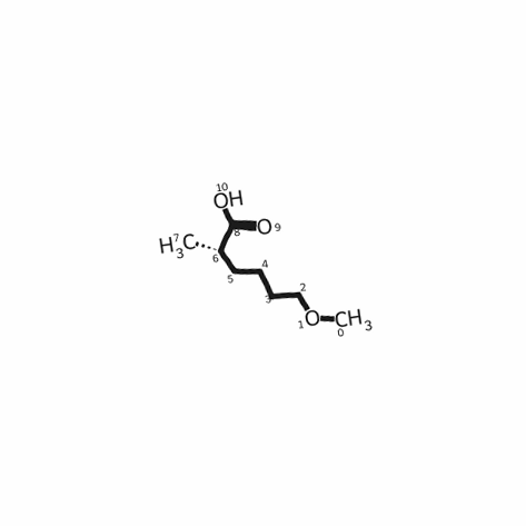 COCCCC[C@H](C)C(=O)O